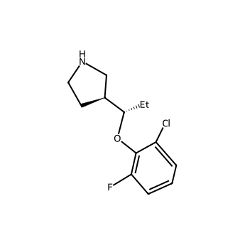 CC[C@H](Oc1c(F)cccc1Cl)[C@H]1CCNC1